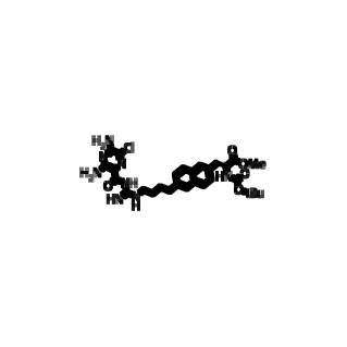 COC(=O)[C@H](Cc1ccc2cc(CCCCNC(=N)NC(=O)c3nc(Cl)c(N)nc3N)ccc2c1)NC(=O)OC(C)(C)C